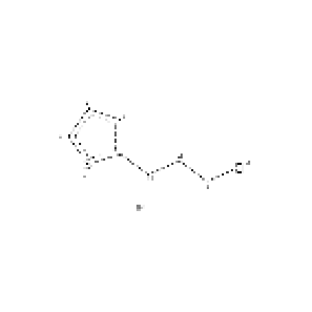 C[C@@H](CCCl)c1cccs1